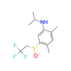 Cc1cc(C)c([S+]([O-])CC(F)(F)F)cc1NC(C)C